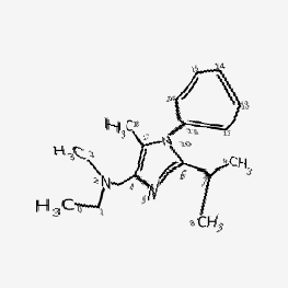 CCN(C)c1nc(C(C)C)n(-c2ccccc2)c1C